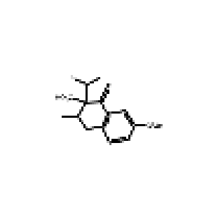 COc1ccc2c(c1)C(=O)C(C(=O)O)(C(F)F)C(C)C2